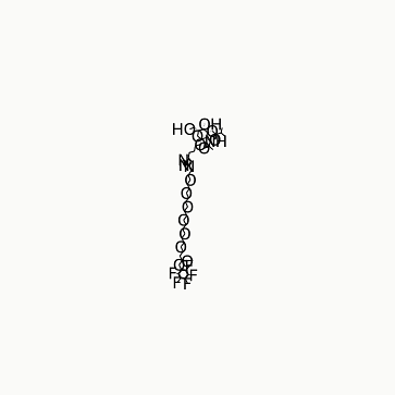 CC(=O)N[C@H]1[C@H](OCCCc2cn(CCOCCOCCOCCOCCOCCOCCC(=O)Oc3c(F)c(F)c(F)c(F)c3F)nn2)O[C@H](CO)[C@H](O)[C@@H]1OC(=O)C(C)C